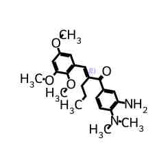 CCC/C(=C\c1cc(OC)cc(OC)c1OC)C(=O)c1ccc(N(C)C)c(N)c1